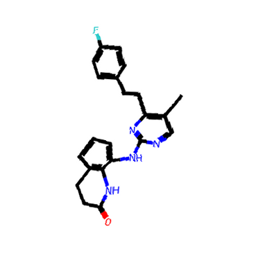 Cc1cnc(Nc2cccc3c2NC(=O)CC3)nc1CCc1ccc(F)cc1